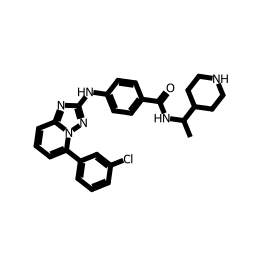 CC(NC(=O)c1ccc(Nc2nc3cccc(-c4cccc(Cl)c4)n3n2)cc1)C1CCNCC1